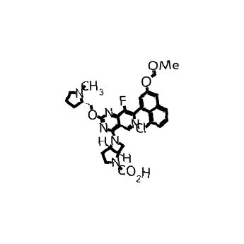 COCOc1cc(-c2ncc3c(N4C[C@@H]5[C@H]4CCN5C(=O)O)nc(OC[C@@H]4CCCN4C)nc3c2F)c2c(Cl)cccc2c1